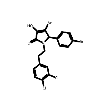 CC(=O)C1=C(O)C(=O)N(CCc2ccc(Cl)c(Cl)c2)C1c1ccc(Br)cc1